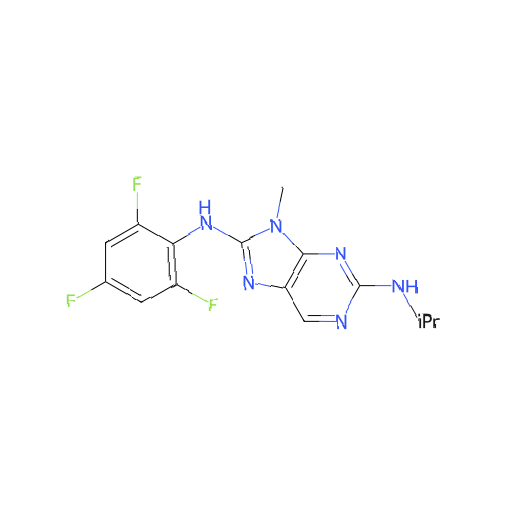 CC(C)Nc1ncc2nc(Nc3c(F)cc(F)cc3F)n(C)c2n1